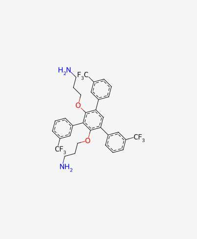 NCCCOc1c(-c2cccc(C(F)(F)F)c2)cc(-c2cccc(C(F)(F)F)c2)c(OCCCN)c1-c1cccc(C(F)(F)F)c1